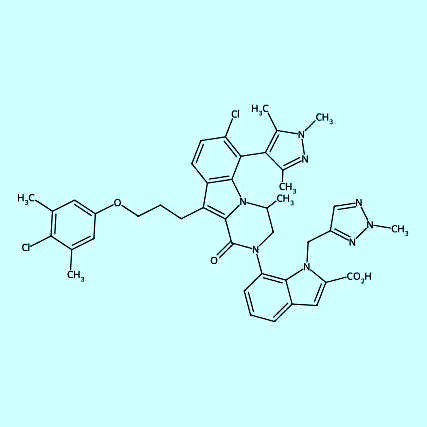 Cc1cc(OCCCc2c3n(c4c(-c5c(C)nn(C)c5C)c(Cl)ccc24)C(C)CN(c2cccc4cc(C(=O)O)n(Cc5cnn(C)n5)c24)C3=O)cc(C)c1Cl